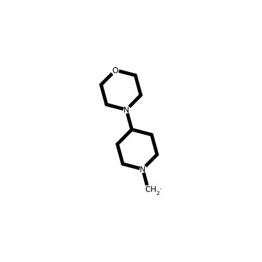 [CH2]N1CCC(N2CCOCC2)CC1